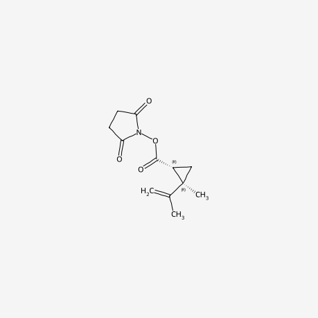 C=C(C)[C@]1(C)C[C@H]1C(=O)ON1C(=O)CCC1=O